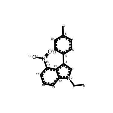 CCn1cc(-c2ccc(C)cc2)c2c([N+](=O)[O-])cccc21